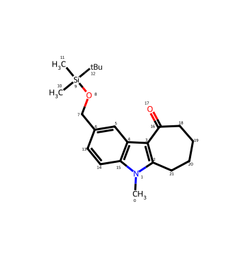 Cn1c2c(c3cc(CO[Si](C)(C)C(C)(C)C)ccc31)C(=O)CCCC2